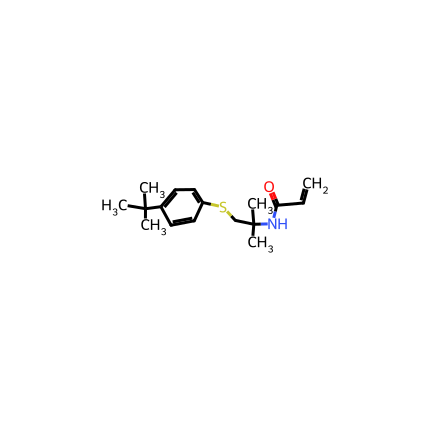 C=CC(=O)NC(C)(C)CSc1ccc(C(C)(C)C)cc1